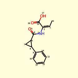 CC=C(NC(=O)C1CC1c1ccccc1)C(=O)O